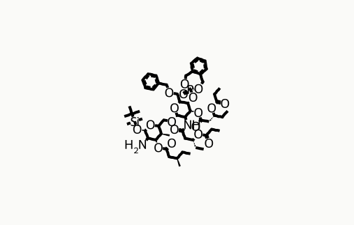 CCC(=O)O[C@H](CC)CC(=O)NC1[C@H](OCC2O[C@@H](O[Si](C)(C)C(C)(C)C)C(N)[C@@H](OC(=O)C[C@H](C)CC)[C@@H]2C)OC(COCc2ccccc2)[C@@H](OP2(=O)OCc3ccccc3CO2)[C@@H]1OC(=O)C[C@@H](CC)OC(=O)CC